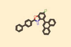 Clc1cc2c(c(-c3cc4ccccc4c4ccccc34)c1)NC(c1ccc(-c3ccccc3)cc1)O2